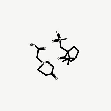 CC(C)(C)C(=O)C[S+]1CCC(=O)CC1.CC1(C)C2CCC1(CS(=O)(=O)[O-])C(=O)C2